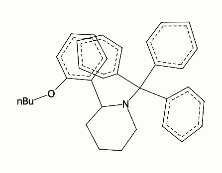 CCCCOc1ccccc1C1CCCCN1C(c1ccccc1)(c1ccccc1)c1ccccc1